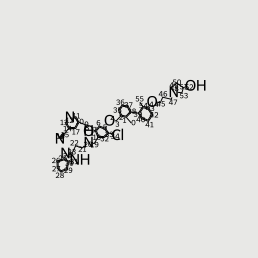 Cc1c(COc2cc(OCc3cncc(C#N)c3)c(CNCCc3nc4ccccc4[nH]3)cc2Cl)cccc1-c1cccc(OCCCN2CC[C@@H](O)C2)c1C